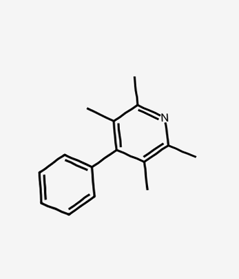 Cc1nc(C)c(C)c(-c2ccccc2)c1C